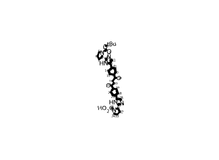 CC(C)(C)OC(=O)N1CCC[C@H]1c1ncc(-c2ccc(C(=O)CCC(=O)c3ccc(-c4cnc([C@@H]5CCCN5C(=O)O)[nH]4)cc3)cc2)[nH]1